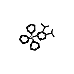 CC(C)c1ccc([Si](c2ccccc2)(c2ccccc2)c2ccccc2)cc1C(C)C